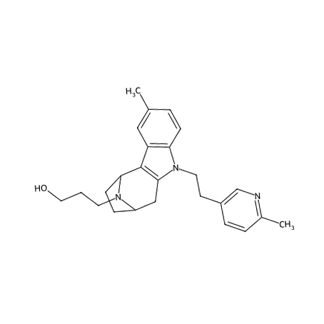 Cc1ccc2c(c1)c1c(n2CCc2ccc(C)nc2)CC2CCC1N2CCCO